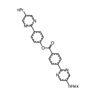 CCCCCCc1cnc(-c2ccc(C(=O)Oc3ccc(-c4ncc(CCC)cn4)cc3)cc2)nc1